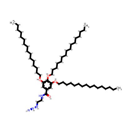 CCCCCCCCCCCCCCCCOc1cc(C(=O)NCCN=[N+]=[N-])cc(OCCCCCCCCCCCCCCCC)c1OCCCCCCCCCCCCCCCC